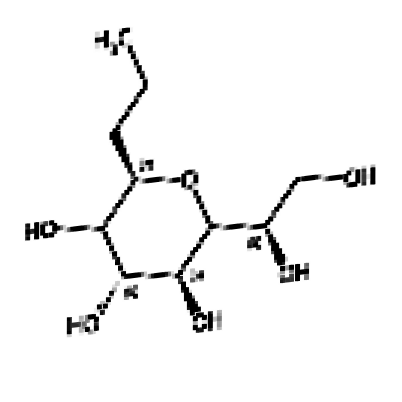 CCC[C@H]1OC([C@H](O)CO)[C@@H](O)[C@H](O)C1O